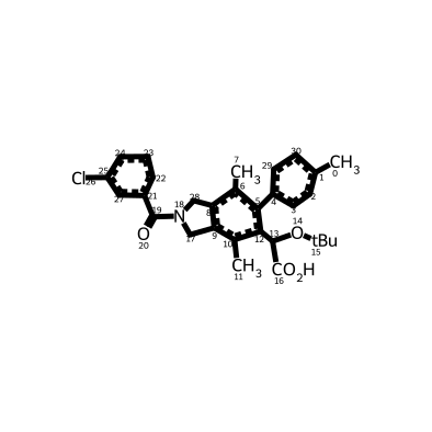 Cc1ccc(-c2c(C)c3c(c(C)c2C(OC(C)(C)C)C(=O)O)CN(C(=O)c2cccc(Cl)c2)C3)cc1